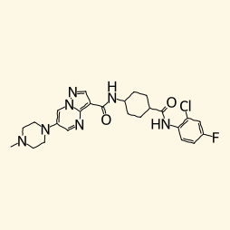 CN1CCN(c2cnc3c(C(=O)NC4CCC(C(=O)Nc5ccc(F)cc5Cl)CC4)cnn3c2)CC1